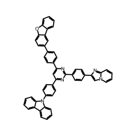 c1ccc2c(c1)oc1ccc(-c3ccc(-c4cc(-c5ccc(-n6c7ccccc7c7ccccc76)cc5)nc(-c5ccc(-c6cn7ccccc7n6)cc5)n4)cc3)cc12